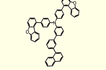 c1cc(-c2cccc(N(c3ccc(-c4cccc5oc6ccccc6c45)cc3)c3ccc(-c4cccc5oc6ccccc6c45)cc3)c2)cc(-c2cccc3ccccc23)c1